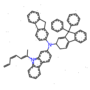 C=C/C=C\C=C(/C)n1c2ccccc2c2ccc(N(c3ccc4c(c3)Cc3ccccc3-4)C3C=C4C(=CC3)c3ccccc3C4(c3ccccc3)c3ccccc3)cc21